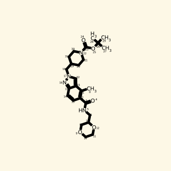 Cc1c(C(=O)NCC2COCCO2)ccc2nn(CC3CCN(C(=O)OC(C)(C)C)CC3)cc12